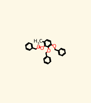 Cc1ccc(OCc2ccccc2)c(OCc2ccccc2)c1OOCc1ccccc1